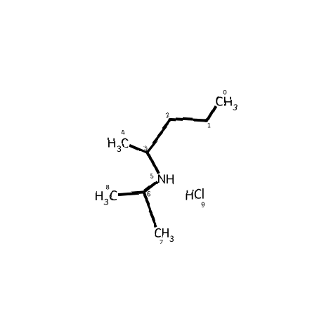 CCCC(C)NC(C)C.Cl